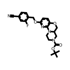 CC(C)(C)OC(=O)N1CCN2c3nc(OCc4ccc(C#N)cc4F)ccc3OCC2C1